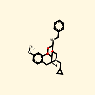 COc1ccc2c(c1)[C@]13CCN(CC4CC4)[C@H](C2)C12CCC(NCc1ccccc1)(CO2)C3